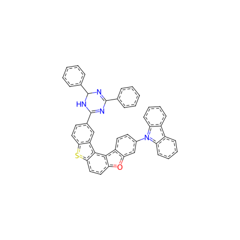 c1ccc(C2=NC(c3ccccc3)NC(c3ccc4sc5ccc6oc7cc(-n8c9ccccc9c9ccccc98)ccc7c6c5c4c3)=N2)cc1